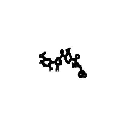 COc1cc(-c2cc(C(=O)N3CCC(C(=O)NCC45COC(C4)C5)CC34CC4)n[nH]2)c(F)cn1